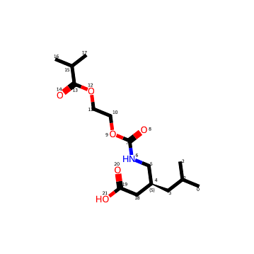 CC(C)C[C@H](CNC(=O)OCCOC(=O)C(C)C)CC(=O)O